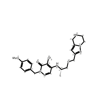 COc1ccc(Cn2ncc(N[C@@H](C)COCc3cc4n(n3)CCNC4)c(C(F)(F)F)c2=O)cc1